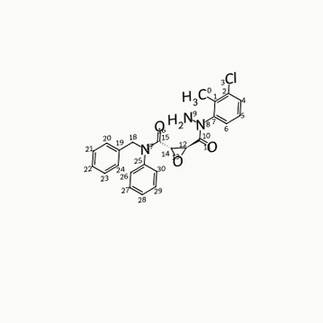 Cc1c(Cl)cccc1N(N)C(=O)[C@H]1O[C@@H]1C(=O)N(Cc1ccccc1)c1ccccc1